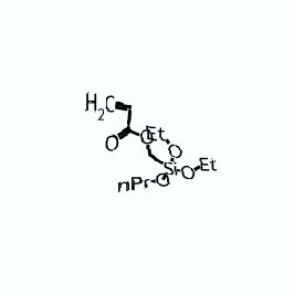 C=CC(=O)OC[Si](OCC)(OCC)OCCC